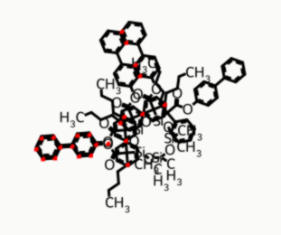 CCCCCC(C(=O)Oc1ccc(-c2ccccc2)cc1)(c1ccccc1)[Si]1(C)O[Si](C)(C)O[Si](C)(C)O[Si](C(CCCCC)(C(=O)Oc2ccc(-c3ccccc3)cc2)c2ccccc2)(C(CCCCC)(C(=O)Oc2ccc(-c3ccccc3)cc2)c2ccccc2)O[Si](C(CCCCC)(C(=O)Oc2ccc(-c3ccccc3)cc2)c2ccccc2)(C(CCCCC)(C(=O)Oc2ccc(-c3ccccc3)cc2)c2ccccc2)O1